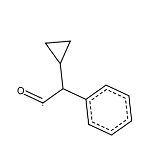 O=[C]C(c1ccccc1)C1CC1